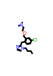 CCCCn1ccnc1Cc1ccc(Cl)cc1COCCN(C)C